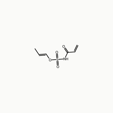 C=CC(=O)NS(=O)(=O)OC=CC